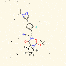 CCn1cc(-c2ccc(C[C@@H](C#N)NC(=O)[C@@H]3[C@@H]4C[C@@H]([C@H]5C[C@@H]45)N3C(=O)OC(C)(C)C)c(F)c2)cn1